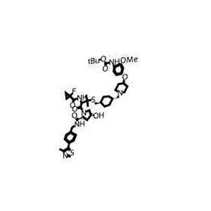 COc1cc(OC2CCN(C[C@H]3CC[C@H](CSC(C)(C)C(NC(=O)C4(F)CC4)C(=O)N4C[C@H](O)C[C@H]4C(=O)NCc4ccc(-c5scnc5C)cc4)CC3)CC2)ccc1NC(=O)OC(C)(C)C